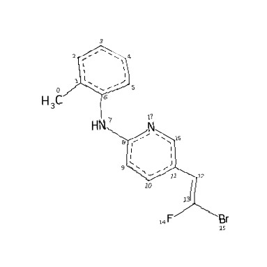 Cc1ccccc1Nc1ccc(/C=C(\F)Br)cn1